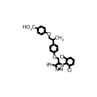 CC(C)c1nnn(-c2c(Cl)cccc2Cl)c1COc1ccc(C(C)COc2ccc(C(=O)O)cc2)cc1